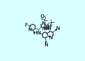 Cc1nc(F)ccc1[C@H](Nc1cc(C#N)c2ncc(C#N)c(NCC(C)(C)C)c2c1)C1=CN(C2(C)COC2)NN1